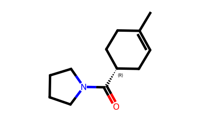 CC1=CC[C@H](C(=O)N2CCCC2)CC1